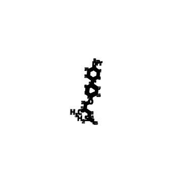 CCCC1CCC(c2ccc(OCC(C)C[SiH2]I)cc2)CC1